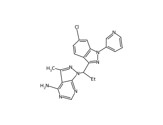 CCC(c1nn(-c2cccnc2)c2cc(Cl)ccc12)n1nc(C)c2c(N)ncnc21